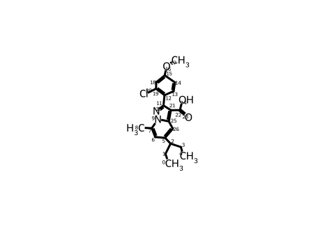 CCC(CC)c1cc(C)n2nc(-c3ccc(OC)cc3Cl)c(C(=O)O)c2c1